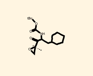 CC(C)(C)OC(=O)NC(CC1CCCCC1)C(=O)[C@@]1(C)CO1